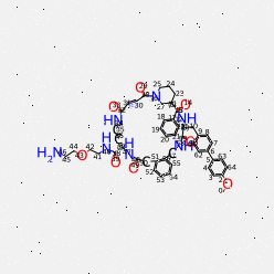 COc1ccc(-c2ccc(C[C@@H]3NC(=O)[C@]4(Cc5ccccc5)CCCN(C4)C(=O)/C=C/C(=O)NCC[C@@H](C(=O)NCCOCCN)NC(=O)Cc4ccccc4CNC3=O)cc2)cc1